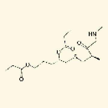 CCC(=O)OCCC[C@@H](CSC[C@H](C)C(=O)CNC)OC(=O)CC